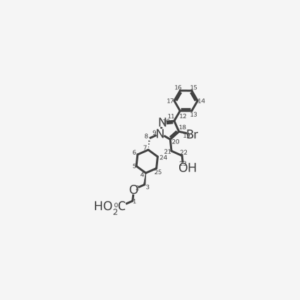 O=C(O)COC[C@H]1CC[C@H](Cn2nc(-c3ccccc3)c(Br)c2CCO)CC1